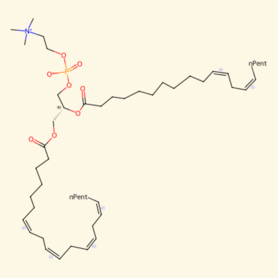 CCCCC/C=C\C/C=C\C/C=C\C/C=C\CCCCCC(=O)OC[C@H](COP(=O)([O-])OCC[N+](C)(C)C)OC(=O)CCCCCCCCC/C=C\C/C=C\CCCCC